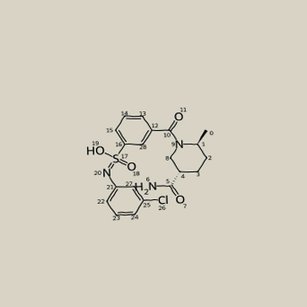 C[C@H]1CC[C@H](C(N)=O)CN1C(=O)c1cccc(S(=O)(O)=Nc2cccc(Cl)c2)c1